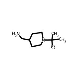 CCC(C)(C)N1CCC(CN)CC1